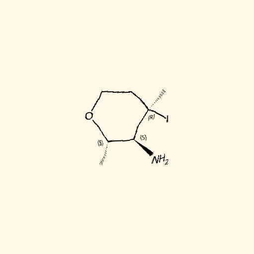 C[C@@H]1OCC[C@@](C)(I)[C@H]1N